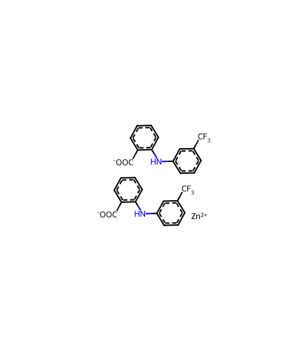 O=C([O-])c1ccccc1Nc1cccc(C(F)(F)F)c1.O=C([O-])c1ccccc1Nc1cccc(C(F)(F)F)c1.[Zn+2]